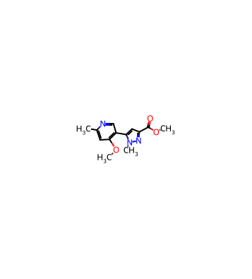 COC(=O)c1cc(-c2cnc(C)cc2OC)n(C)n1